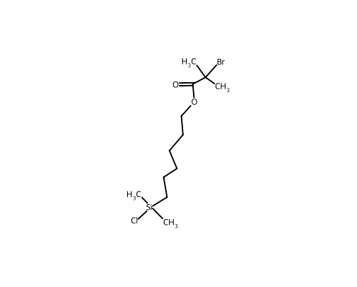 CC(C)(Br)C(=O)OCCCCCC[Si](C)(C)Cl